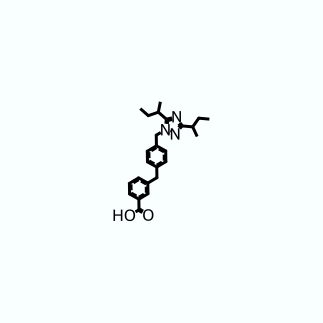 CCC(C)c1nc(C(C)CC)n(Cc2ccc(Cc3cccc(C(=O)O)c3)cc2)n1